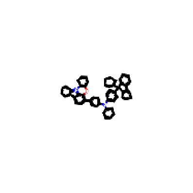 c1ccc(N(c2ccc(-c3ccc4c5ccccc5n5c4c3Oc3ccccc3-5)cc2)c2ccc(C3(c4ccccc4)c4ccccc4-c4ccccc43)cc2)cc1